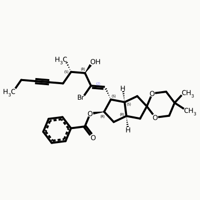 CCC#CC[C@H](C)[C@@H](O)/C(Br)=C/[C@@H]1[C@H]2CC3(C[C@H]2C[C@H]1OC(=O)c1ccccc1)OCC(C)(C)CO3